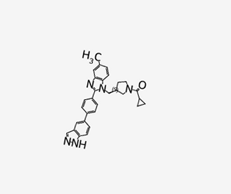 Cc1ccc2c(c1)nc(-c1ccc(-c3ccc4[nH]ncc4c3)cc1)n2C[C@H]1CCN(C(=O)C2CC2)C1